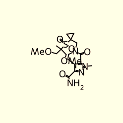 COCC(C)(COC)S(=O)(=O)C1(CN2CCc3c(C(N)=O)nn(C)c3C2=O)CC1